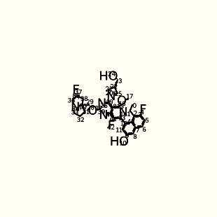 CCc1c(F)ccc2cc(O)cc(-c3nc(OC)c4c(N5CC(CO)C5)nc(OC[C@@]56CCCN5C[C@H](F)C6)nc4c3F)c12